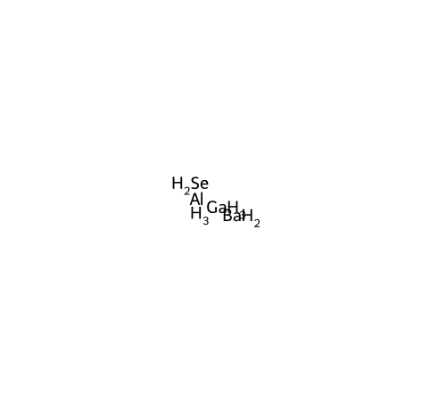 [AlH3].[BaH2].[GaH3].[SeH2]